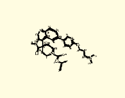 CC(C)OC(=O)N1CCC2(CC1)C(=O)N(C)c1cnc3ccc(-c4ccc(OCCCN(C)C)nc4)cc3c12